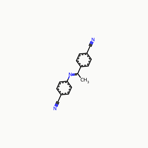 C/C(=N\c1ccc(C#N)cc1)c1ccc(C#N)cc1